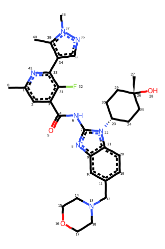 Cc1cc(C(=O)Nc2nc3cc(CN4CCOCC4)ccc3n2[C@H]2CC[C@@](C)(O)CC2)c(F)c(-c2cnn(C)c2C)n1